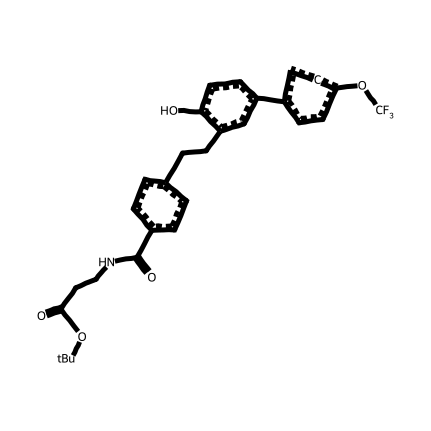 CC(C)(C)OC(=O)CCNC(=O)c1ccc(CCc2cc(-c3ccc(OC(F)(F)F)cc3)ccc2O)cc1